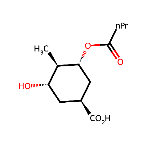 CCCC(=O)O[C@@H]1C[C@@H](C(=O)O)C[C@H](O)[C@H]1C